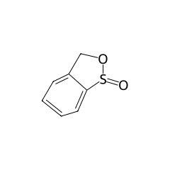 O=S1OCc2ccccc21